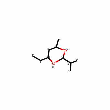 CCC1CC(C)OC(C(C)C)O1